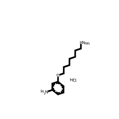 CCCCCCCCCCCCCCCCOc1cccc(N)c1.Cl